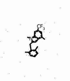 Cc1[c]ccc(C)c1Cc1cc2c(C)cc(C(F)(F)F)cc2n1C